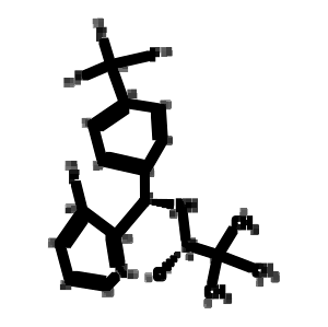 CC(C)(C)[S@+]([O-])N[C@@H](c1ccc(C(F)(F)F)cc1)c1ncccc1F